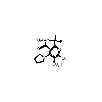 COC(=O)c1c(C(F)(F)Cl)nc(C(F)(F)F)c(C(=O)O)c1N1CCCC1